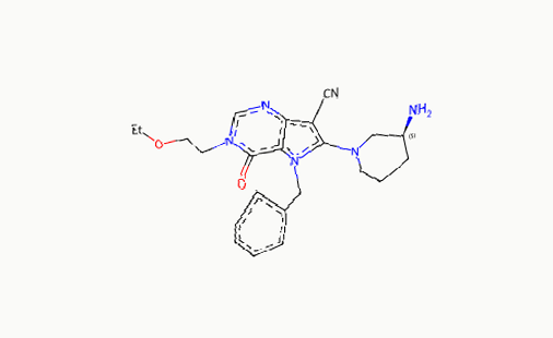 CCOCCn1cnc2c(C#N)c(N3CCC[C@H](N)C3)n(Cc3ccccc3)c2c1=O